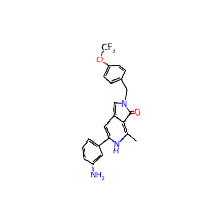 Cc1[nH]c(-c2cccc(N)c2)cc2cn(Cc3ccc(OC(F)(F)F)cc3)c(=O)c1-2